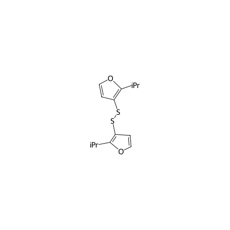 CC(C)c1occc1SSc1ccoc1C(C)C